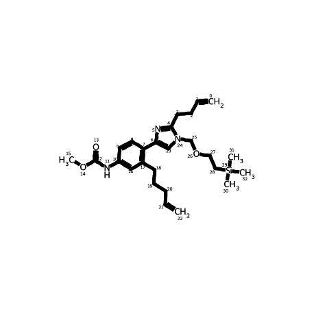 C=CC[CH]c1nc(-c2ccc(NC(=O)OC)cc2CCCC=C)cn1COCC[Si](C)(C)C